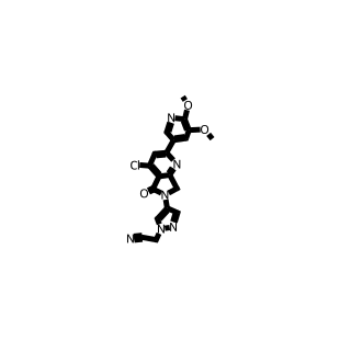 COc1cc(-c2cc(Cl)c3c(n2)CN(c2cnn(CC#N)c2)C3=O)cnc1OC